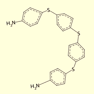 Nc1ccc(Sc2ccc(Sc3ccc(Sc4ccc(N)cc4)cc3)cc2)cc1